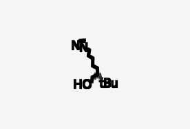 CC(C)(C)C[C@H](CCO)CCCCCn1ccnc1